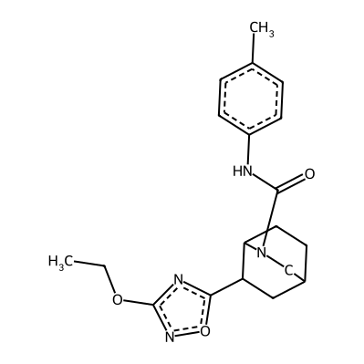 CCOc1noc(C2CC3CCC2N(C(=O)Nc2ccc(C)cc2)C3)n1